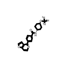 [2H]C([2H])([2H])O[C@H]1CC[C@H](NC(=O)c2ccc(-c3nccc4occc34)cc2)CC1